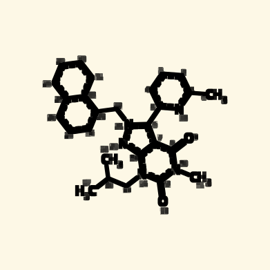 Cc1cccc(-c2c3c(=O)n(C)c(=O)n(CC(C)C)c3nn2Cc2cccc3ccccc23)n1